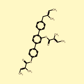 C/C=C(\C)Cc1ccc(-c2ccc(-c3ccc(OC(=O)/C(C)=C/C)cc3)cc2OC(=O)/C(C)=C/C)cc1